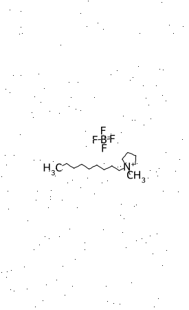 CCCCCCCCC[N+]1(C)CCCC1.F[B-](F)(F)F